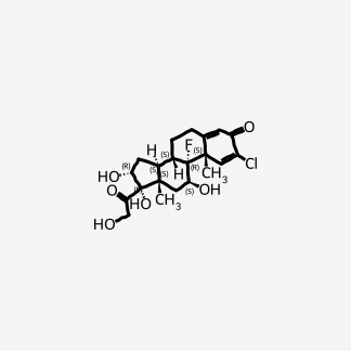 C[C@]12C=C(Cl)C(=O)C=C1CC[C@H]1[C@@H]3C[C@@H](O)[C@](O)(C(=O)CO)[C@@]3(C)C[C@H](O)[C@@]12F